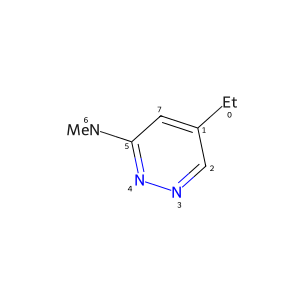 CCc1cnnc(NC)c1